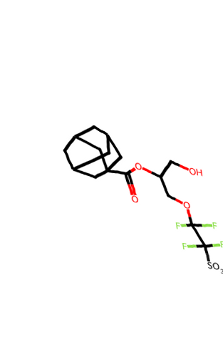 O=C(OC(CO)COC(F)(F)C(F)(F)S(=O)(=O)O)C12CC3CC(CC(C3)C1)C2